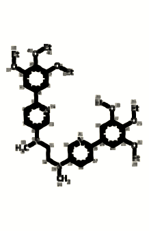 CCOc1cc(-c2ccc(N(C)CCN(C)c3ccc(-c4cc(OCC)c(OCC)c(OCC)c4)nc3)cn2)cc(OCC)c1OCC